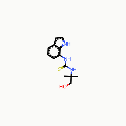 CC(C)(CO)NC(=S)Nc1cccc2cc[nH]c12